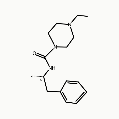 [CH2][C@@H](Cc1ccccc1)NC(=O)N1CCN(CC)CC1